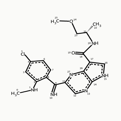 CNc1cc(Cl)ccc1C(=N)c1cnc2[nH]cc(C(=O)N[C@@H](C)COC)c2n1